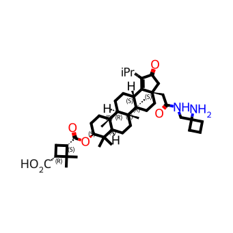 CC(C)C1=C2[C@H]3CC[C@@H]4[C@@]5(C)CC[C@H](OC(=O)[C@H]6C[C@@H](C(=O)O)C6(C)C)C(C)(C)[C@@H]5CC[C@@]4(C)[C@]3(C)CC[C@@]2(CC(=O)NCC2(N)CCC2)CC1=O